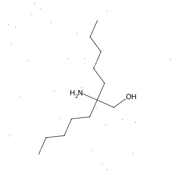 CCCCCC(N)(CO)CCCCC